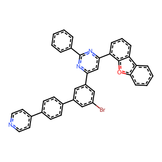 Brc1cc(-c2ccc(-c3ccncc3)cc2)cc(-c2cc(-c3cccc4c3oc3ccccc34)nc(-c3ccccc3)n2)c1